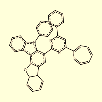 C1=CC=CC=C(c2cc(-c3ccccc3)nc(-c3cc4c(c5c6ccccc6n(-c6ccccc6)c35)OC3C=CC=CC43)n2)C=1